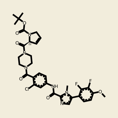 COc1ccc(-c2cnc(C(=O)Nc3ccc(C(=O)N4CCN(C(=O)[C@@H]5C=CCN5C(=O)OC(C)(C)C)CC4)c(Cl)c3)n2C)c(F)c1F